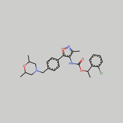 Cc1noc(-c2ccc(CN3CC(C)OC(C)C3)cc2)c1NC(=O)OC(C)c1ccccc1Cl